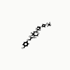 O=C(COc1ccc(Cl)cc1)N[C@H]1CO[C@H](c2nnc([C@H]3C[C@@H](OC(F)(F)F)C3)o2)CC1(F)F